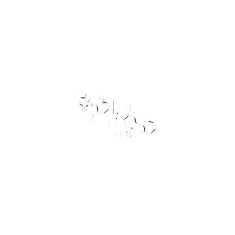 NC1(C(F)(F)F)CC(C(=O)Nc2cnc(-n3nccn3)c(Cl)c2)=C(Cl)C=C1c1ccccc1